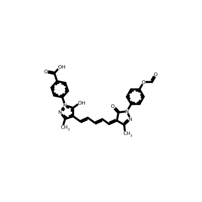 CC1=NN(c2ccc(OC=O)cc2)C(=O)C1=CC=CC=Cc1c(C)nn(-c2ccc(C(=O)O)cc2)c1O